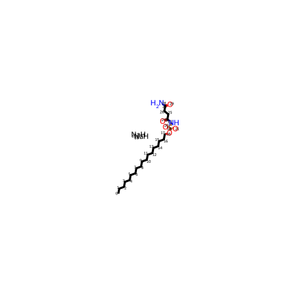 CCCCCCCCCCCCCCCCCCOS(=O)(=O)NC(=O)CCC(N)=O.[NaH].[NaH]